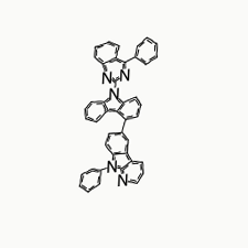 c1ccc(-c2nc(-n3c4ccccc4c4c(-c5ccc6c(c5)c5cccnc5n6-c5ccccc5)cccc43)nc3ccccc23)cc1